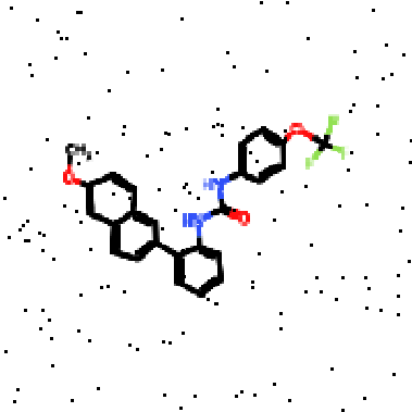 COc1ccc2cc(-c3ccccc3NC(=O)Nc3ccc(OC(F)(F)F)cc3)ccc2c1